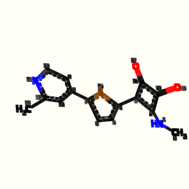 CNc1c(-c2ccc(-c3ccnc(C)c3)s2)c(=O)c1=O